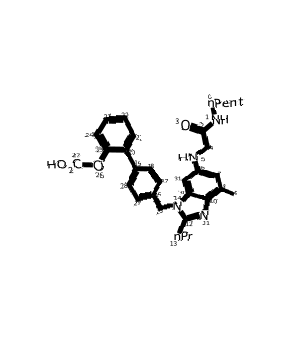 CCCCCNC(=O)CNc1cc(C)c2nc(CCC)n(Cc3ccc(-c4ccccc4OC(=O)O)cc3)c2c1